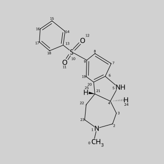 CN1CC[C@@H]2Nc3ccc(S(=O)(=O)c4ccccc4)cc3[C@H]2CC1